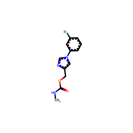 CNC(=O)OCc1cn(-c2cccc(Br)c2)cn1